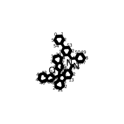 c1ccc(-c2ccc(-c3nc(-c4ccc5c(c4)C4(c6ccccc6-5)c5ccc6ccccc6c5Oc5c4ccc4ccccc54)nc4ccccc34)cc2)cc1